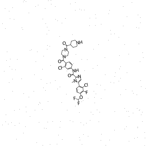 Cn1c(-c2ccc(OC(F)F)c(F)c2Cl)cnc1C(=O)Nc1ccc(C(=O)N2CCN(C(=O)C3CCNCC3)CC2)c(Cl)c1